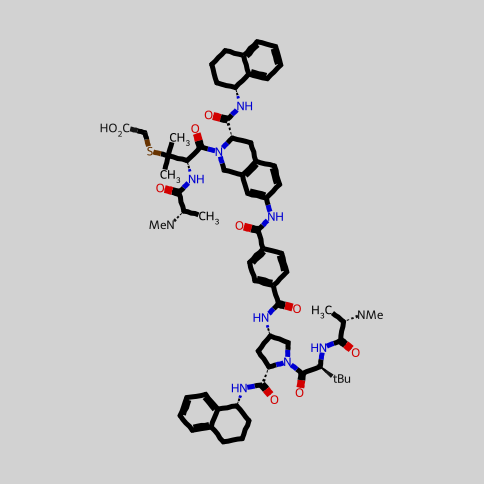 CN[C@@H](C)C(=O)N[C@H](C(=O)N1C[C@@H](NC(=O)c2ccc(C(=O)Nc3ccc4c(c3)CN(C(=O)[C@H](NC(=O)[C@H](C)NC)C(C)(C)SCC(=O)O)[C@H](C(=O)N[C@@H]3CCCc5ccccc53)C4)cc2)C[C@H]1C(=O)N[C@@H]1CCCc2ccccc21)C(C)(C)C